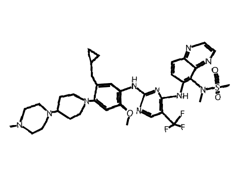 COc1cc(N2CCC(N3CCN(C)CC3)CC2)c(CC2CC2)cc1Nc1ncc(C(F)(F)F)c(Nc2ccc3nccnc3c2N(C)S(C)(=O)=O)n1